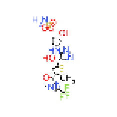 Cc1sc(C(O)c2cncnc2N[C@@H]2C[C@H](COS(N)(=O)=O)[C@@H](O)C2)cc1C1OCCn2cc(C(F)(F)F)nc21